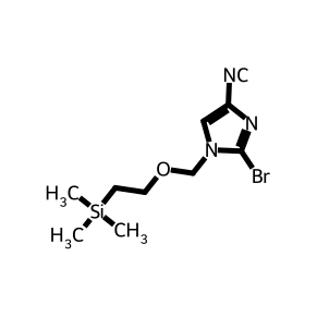 [C-]#[N+]c1cn(COCC[Si](C)(C)C)c(Br)n1